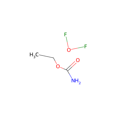 CCOC(N)=O.FOF